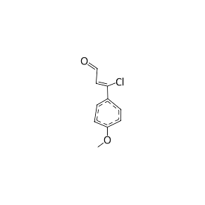 COc1ccc(/C(Cl)=C/C=O)cc1